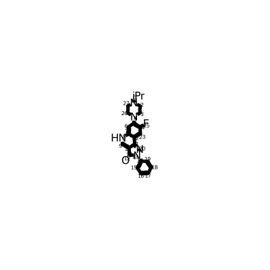 CC(C)N1CCN(c2cc3[nH]cc4c(=O)n(-c5ccccc5)nc-4c3cc2F)CC1